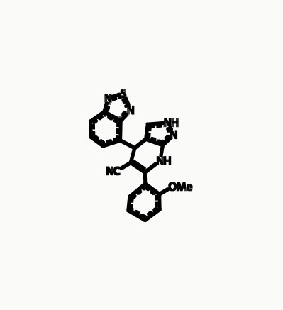 COc1ccccc1C1=C(C#N)C(c2cccc3nsnc23)c2c[nH]nc2N1